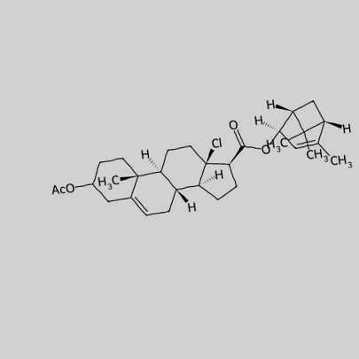 CC(=O)OC1CC[C@@]2(C)C(=CC[C@H]3[C@@H]4CC[C@H](C(=O)O[C@@H]5C=C(C)[C@H]6C[C@@H]5C6(C)C)[C@@]4(Cl)CC[C@@H]32)C1